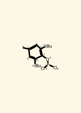 Cc1cc(C(C)(C)C)c(OP(Cl)Cl)c(C(C)(C)C)c1